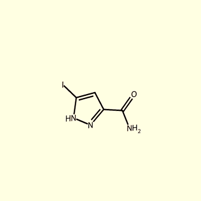 NC(=O)c1cc(I)[nH]n1